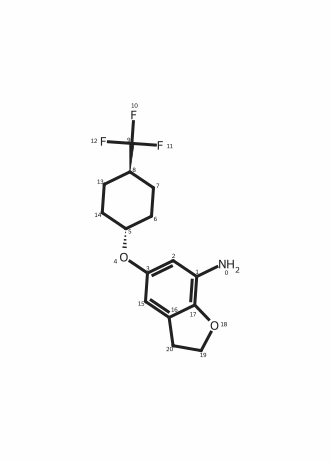 Nc1cc(O[C@H]2CC[C@H](C(F)(F)F)CC2)cc2c1OCC2